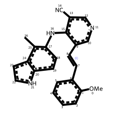 COc1ccccc1/C=C/c1cncc(C#N)c1Nc1ccc2[nH]ccc2c1C